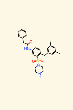 Cc1cc(C)cc(Cc2ccc(NC(=O)Cc3ccccc3)cc2S(=O)(=O)N2CCNCC2)c1